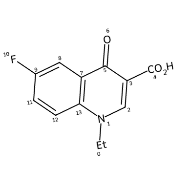 CCn1cc(C(=O)O)c(=O)c2cc(F)ccc21